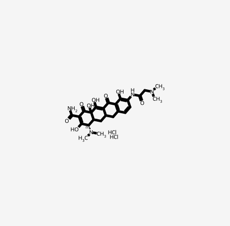 CN(C)CC(=O)Nc1ccc2c(c1O)C(=O)C1=C(O)C3(O)C(=O)C(C(N)=O)=C(O)[C@@H](N(C)C)C3CC1C2.Cl.Cl